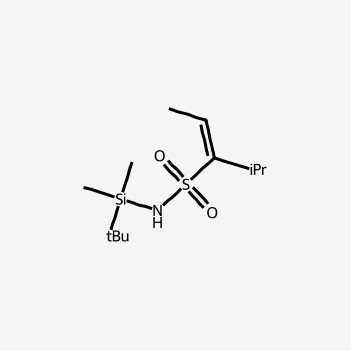 C/C=C(/C(C)C)S(=O)(=O)N[Si](C)(C)C(C)(C)C